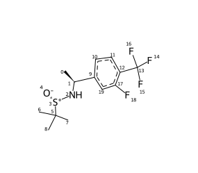 C[C@H](N[S@@+]([O-])C(C)(C)C)c1ccc(C(F)(F)F)c(F)c1